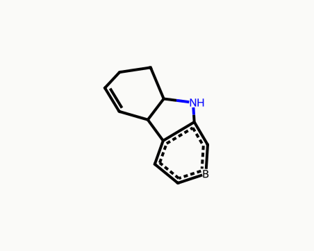 b1ccc2c(c1)NC1CCC=CC21